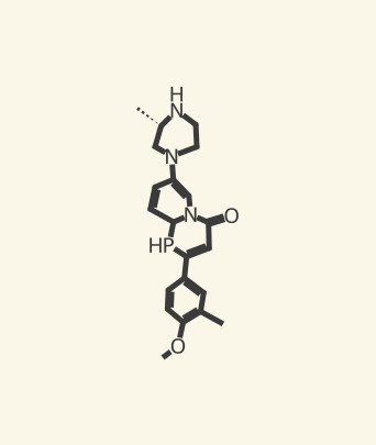 COc1ccc(C2=CC(=O)N3C=C(N4CCN[C@@H](C)C4)C=CC3P2)cc1C